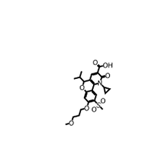 COCCCOc1cc2c(cc1S(C)(=O)=O)-c1c(cc(C(=O)O)c(=O)n1C1CC1)C(C(C)C)O2